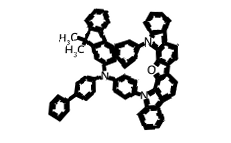 CC1(C)c2ccccc2-c2ccc(N(c3ccc(-c4ccccc4)cc3)c3ccc(-n4c5ccccc5c5ccc6c7ccc8c9ccccc9n(-c9ccccc9)c8c7oc6c54)cc3)cc21